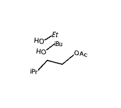 CC(=O)OCCC(C)C.CCC(C)O.CCO